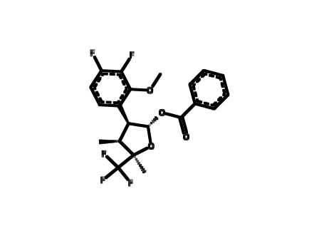 COc1c([C@H]2[C@H](OC(=O)c3ccccc3)O[C@@](C)(C(F)(F)F)[C@H]2C)ccc(F)c1F